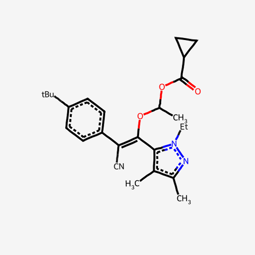 CCn1nc(C)c(C)c1/C(OC(C)OC(=O)C1CC1)=C(\C#N)c1ccc(C(C)(C)C)cc1